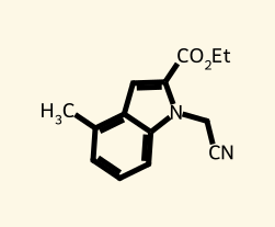 CCOC(=O)c1cc2c(C)cccc2n1CC#N